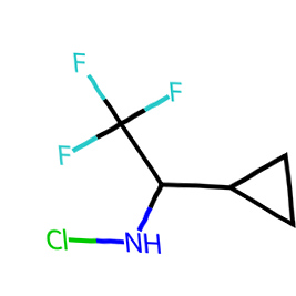 FC(F)(F)C(NCl)C1CC1